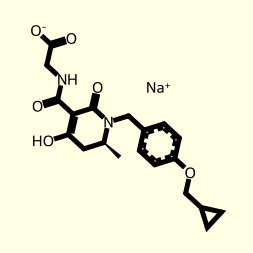 C[C@H]1CC(O)=C(C(=O)NCC(=O)[O-])C(=O)N1Cc1ccc(OCC2CC2)cc1.[Na+]